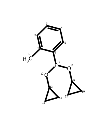 Cc1ccccc1P(OC1CC1)OC1CC1